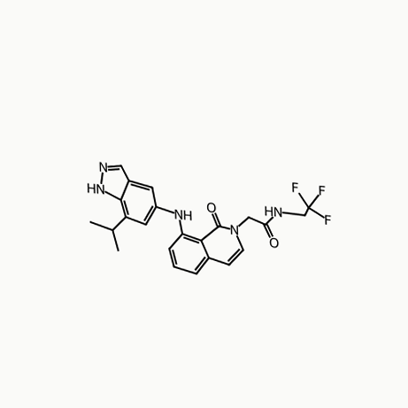 CC(C)c1cc(Nc2cccc3ccn(CC(=O)NCC(F)(F)F)c(=O)c23)cc2cn[nH]c12